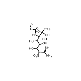 CC(C)(C)OC(=O)N[C@](O)(C(O)C(O)C(O)N(C(=N)N)[N+](=O)[O-])C(O)(O)C(=O)O